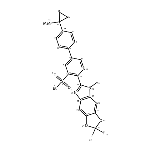 CCS(=O)(=O)c1cc(-c2ccc(C3(NC)CC3)cc2)cnc1-c1nc2cc3c(cc2n1C)OC(F)(F)O3